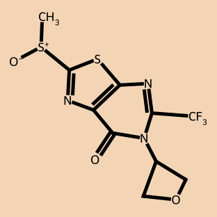 C[S+]([O-])c1nc2c(=O)n(C3COC3)c(C(F)(F)F)nc2s1